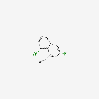 CC(C)c1cc(F)cc2cccc(Cl)c12